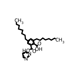 CCCCCCCCc1cc(CCCCCCCC)c(C(=O)O)c(C(=O)O)c1.c1cncnc1